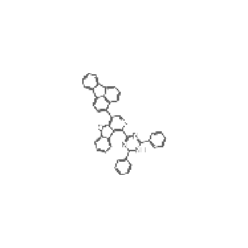 c1ccc(C2=NC(c3ncc(-c4ccc5c6c(cccc46)-c4ccccc4-5)c4oc5ccccc5c34)=NC(c3ccccc3)N2)cc1